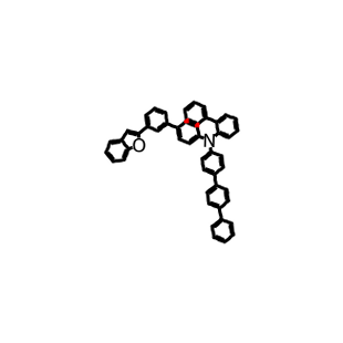 c1ccc(-c2ccc(-c3ccc(N(c4ccc(-c5cccc(-c6cc7ccccc7o6)c5)cc4)c4ccccc4-c4ccccc4)cc3)cc2)cc1